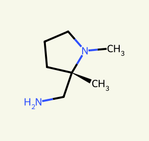 CN1CCC[C@@]1(C)CN